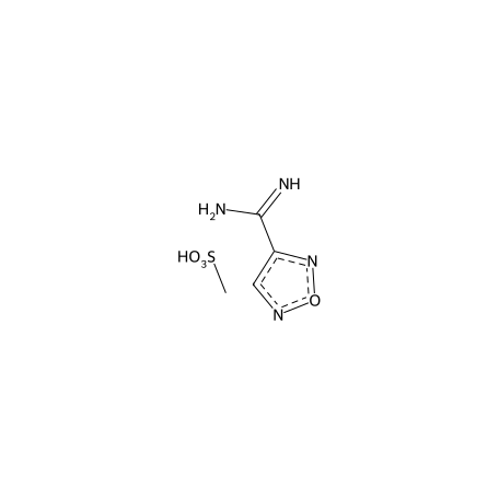 CS(=O)(=O)O.N=C(N)c1cnon1